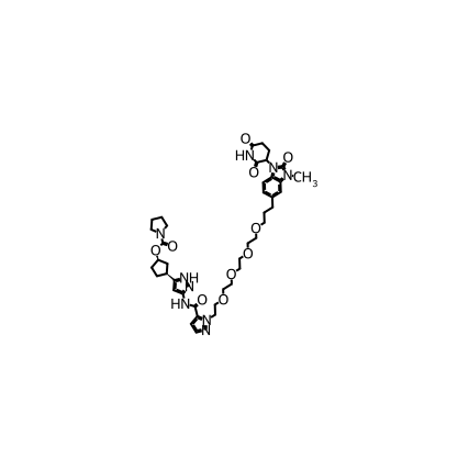 Cn1c(=O)n(C2CCC(=O)NC2=O)c2ccc(CCCOCCOCCOCCOCCn3nccc3C(=O)Nc3cc([C@H]4CC[C@@H](OC(=O)N5CCCC5)C4)[nH]n3)cc21